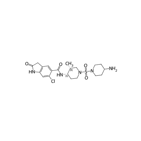 C[C@@H]1CN(S(=O)(=O)N2CCC(N)CC2)CC[C@@H]1NC(=O)c1cc2c(cc1Cl)NC(=O)C2